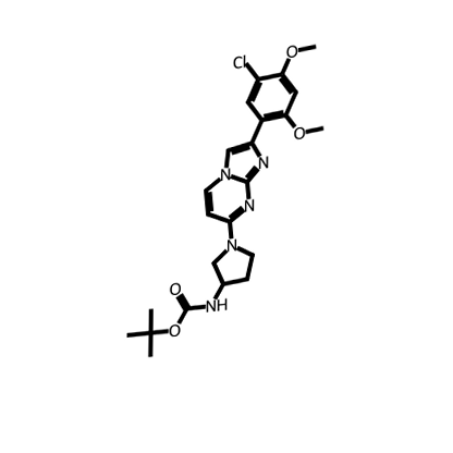 COc1cc(OC)c(-c2cn3ccc(N4CCC(NC(=O)OC(C)(C)C)C4)nc3n2)cc1Cl